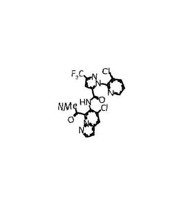 CNC(=O)c1c(NC(=O)c2cc(C(F)(F)F)nn2-c2ncccc2Cl)c(Cl)cc2ccnn12